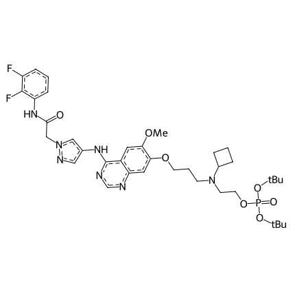 COc1cc2c(Nc3cnn(CC(=O)Nc4cccc(F)c4F)c3)ncnc2cc1OCCCN(CCOP(=O)(OC(C)(C)C)OC(C)(C)C)C1CCC1